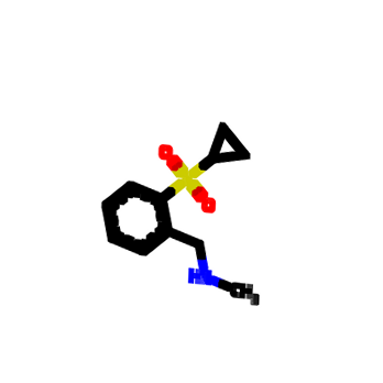 CNCc1ccccc1S(=O)(=O)C1CC1